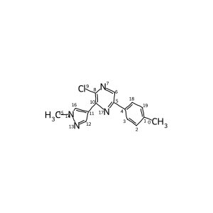 Cc1ccc(-c2cnc(Cl)c(-c3cnn(C)c3)n2)cc1